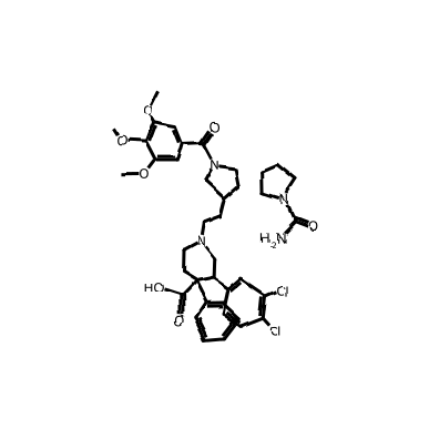 COc1cc(C(=O)N2CCC(CCN3CCC(C(=O)O)(c4ccccc4)C(c4ccc(Cl)c(Cl)c4)C3)C2)cc(OC)c1OC.NC(=O)N1CCCC1